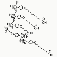 CCOC(=O)CCCOc1ccc(-c2nn[nH]c2C#N)cc1.N#Cc1[nH]nnc1-c1ccc(OCCCCC(=O)O)cc1.N#Cc1[nH]nnc1-c1ccc(OCCCCCCCC(=O)O)cc1.N#Cc1[nH]nnc1-c1ccc(OCCCCCCCCCC(=O)O)cc1.N#Cc1[nH]nnc1-c1ccc(OCCCCCCCCCCCC(=O)O)cc1